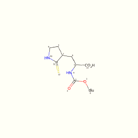 CC(C)(C)OC(=O)NC(CC1CCNC1=S)C(=O)O